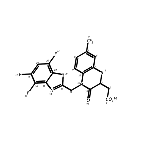 O=C(O)CC1Sc2cc(C(F)(F)F)ccc2N(Cc2nc3c(F)c(F)cc(F)c3s2)C1=O